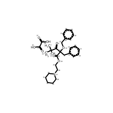 CC(C)(C)C(=O)C(Cc1ccccc1)(OCc1ccccc1)C(=O)OCCN1CCCCC1.O=C(O)C(=O)O